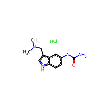 CN(C)Cc1c[nH]c2ccc(NC(N)=O)cc12.Cl